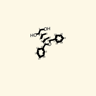 C=CC.C=CC.OCCO.c1ccc(COCc2ccccc2)cc1